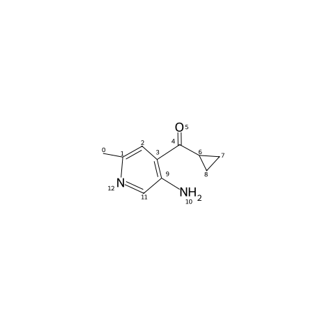 Cc1cc(C(=O)C2CC2)c(N)cn1